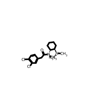 CN(C)[C@@H]1CCCC[C@H]1N(C)C(=O)Cc1ccc(Cl)c(Cl)c1